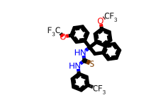 FC(F)(F)Oc1cccc(C(Cc2ccccc2)(NC(=S)Nc2cccc(C(F)(F)F)c2)c2cccc(OC(F)(F)F)c2)c1